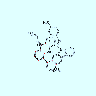 C=C/C=C(\C=C)c1cccc(C(/C=C\C)=C/C)c1Nc1ccccc1Nc1cccc(Oc2ccc3c4ccccc4n(/C=N/c4ccc(C)cc4)c3c2)c1